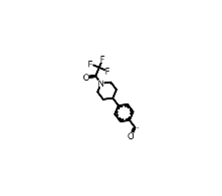 O=[C]c1ccc(C2CCN(C(=O)C(F)(F)F)CC2)cc1